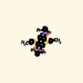 Cc1ccc(Sc2cc3c4c(ccc5c6c(Sc7ccc(C)cc7)cc7c8c(ccc(c2c45)c86)C(=O)N(c2c(C(C)C)cccc2C(C)C)C7=O)CN(c2c(C(C)C)cccc2C(C)C)C3=O)cc1